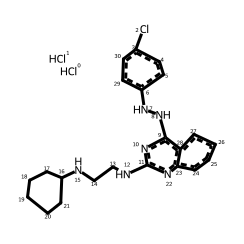 Cl.Cl.Clc1ccc(NNc2nc(NCCNC3CCCCC3)nc3ccccc23)cc1